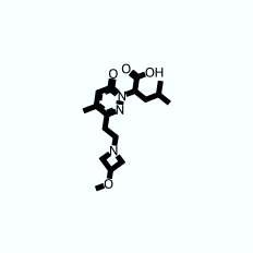 COC1CN(CCc2nn(C(CC(C)C)C(=O)O)c(=O)cc2C)C1